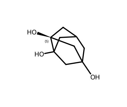 OC12CC3CC(O)(C1)[C@](O)(C3)C2